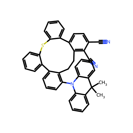 CC1(C)c2ccccc2N(c2cccc3c2CCc2c(ccc(C#N)c2C#N)-c2ccccc2Sc2ccccc2-3)c2ccccc21